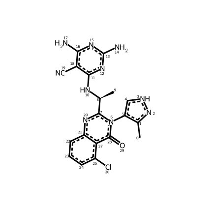 Cc1n[nH]cc1-n1c([C@H](C)Nc2nc(N)nc(N)c2C#N)nc2cccc(Cl)c2c1=O